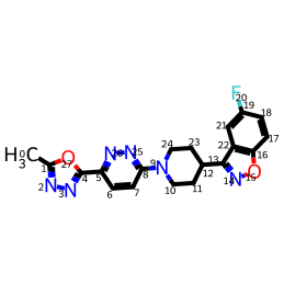 Cc1nnc(-c2ccc(N3CCC(c4noc5ccc(F)cc45)CC3)nn2)o1